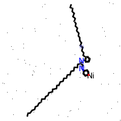 CCCCCCCCCCCCCCCCC/C=C/CCCc1ccccc1/N=C(\C=N\c1ccccc1)CCCCCCCCCCCCCCCCCCCCCCCCCCCCCC.[Ni]